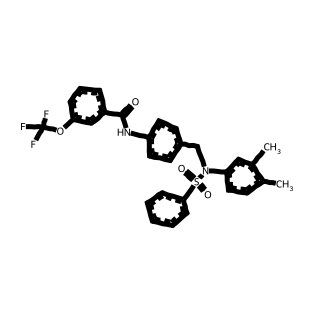 Cc1ccc(N(Cc2ccc(NC(=O)c3cccc(OC(F)(F)F)c3)cc2)S(=O)(=O)c2ccccc2)cc1C